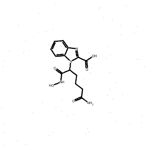 NC(=O)CCCC(C(=O)NO)n1c(C(=O)O)nc2ccccc21